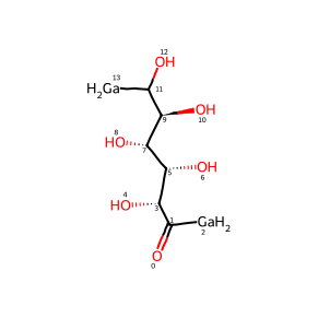 O=[C]([GaH2])[C@H](O)[C@@H](O)[C@H](O)[C@H](O)[CH](O)[GaH2]